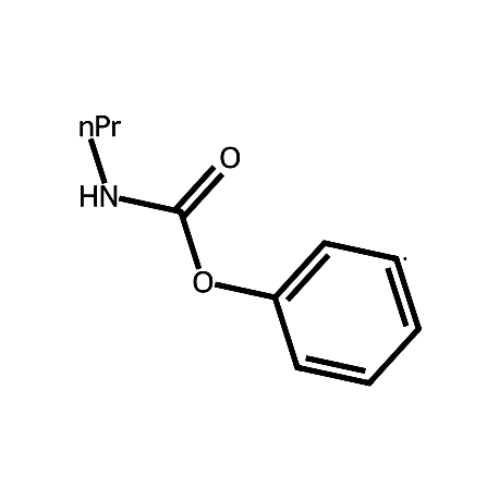 CCCNC(=O)Oc1c[c]ccc1